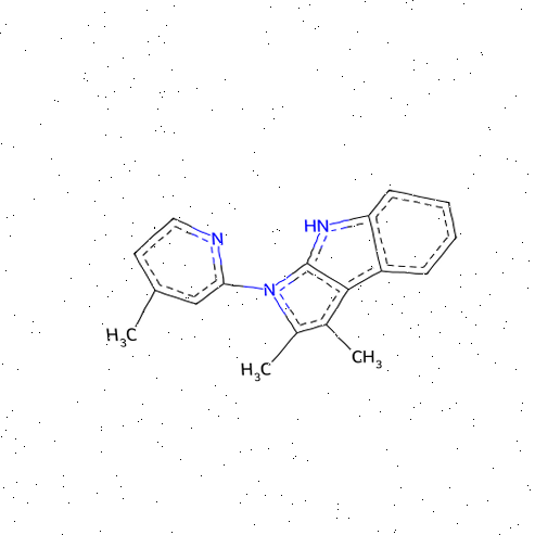 Cc1ccnc(-n2c(C)c(C)c3c4ccccc4[nH]c32)c1